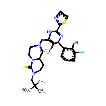 CCOC(=O)C1=C(CN2CCN3C(=S)N(CC(C)(C)C(=O)O)CCC3C2)NC(c2nccs2)=NC1c1cccc(F)c1C